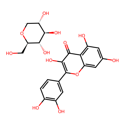 O=c1c(O)c(-c2ccc(O)c(O)c2)oc2cc(O)cc(O)c12.OC[C@H]1O[CH][C@H](O)[C@@H](O)[C@@H]1O